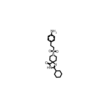 Nc1ccc(CCS(=O)(=O)N2CCC3(CC2)N=C(C2CCCCC2)NC3=O)cc1